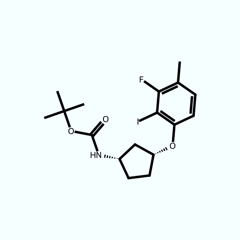 Cc1ccc(O[C@@H]2CC[C@H](NC(=O)OC(C)(C)C)C2)c(I)c1F